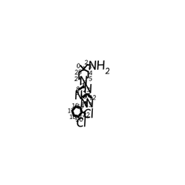 CC1(CN)CCN(c2cnc3c(cnn3-c3cccc(Cl)c3Cl)n2)CC1